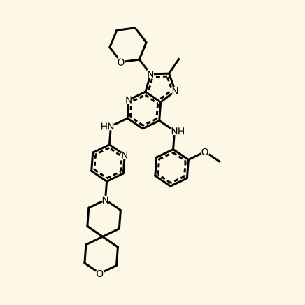 COc1ccccc1Nc1cc(Nc2ccc(N3CCC4(CCOCC4)CC3)cn2)nc2c1nc(C)n2C1CCCCO1